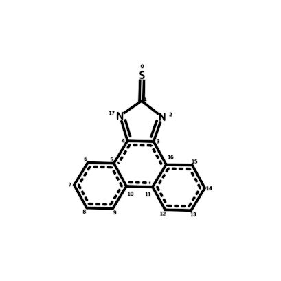 S=C1N=c2c(c3ccccc3c3ccccc23)=N1